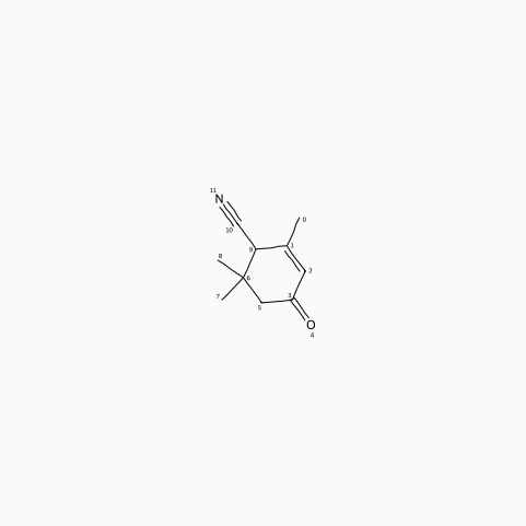 CC1=CC(=O)CC(C)(C)C1C#N